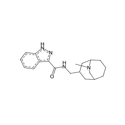 CN1CC2CCCC1CC(CNC(=O)c1n[nH]c3ccccc13)C2